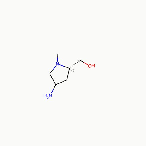 CN1CC(N)C[C@H]1CO